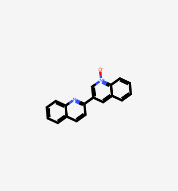 [O-][n+]1[c]c(-c2ccc3ccccc3n2)cc2ccccc21